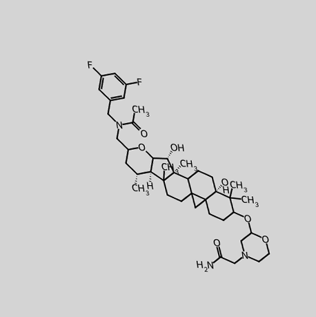 CC(=O)N(Cc1cc(F)cc(F)c1)CC1C[C@@H](C)[C@H]2C(O1)[C@H](O)[C@@]1(C)C3CC[C@@]4(O)C(C)(C)C(OC5CN(CC(N)=O)CCO5)CCC45CC35CCC21C